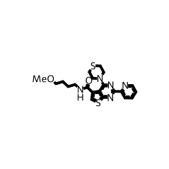 COCCCCNC(=O)c1csc2nc(-c3ccccn3)nc(N3CCSCC3)c12